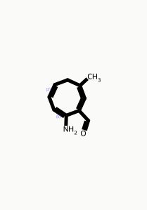 CC1=C=C(C=O)/C(N)=C\C=C/C1